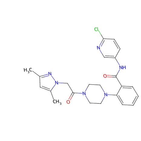 Cc1cc(C)n(CC(=O)N2CCN(c3ccccc3C(=O)Nc3ccc(Cl)nc3)CC2)n1